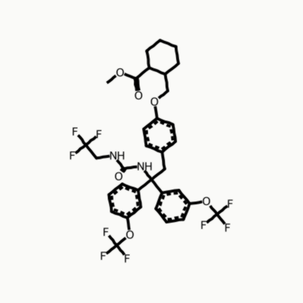 COC(=O)C1CCCCC1COc1ccc(CC(NC(=O)NCC(F)(F)F)(c2cccc(OC(F)(F)F)c2)c2cccc(OC(F)(F)F)c2)cc1